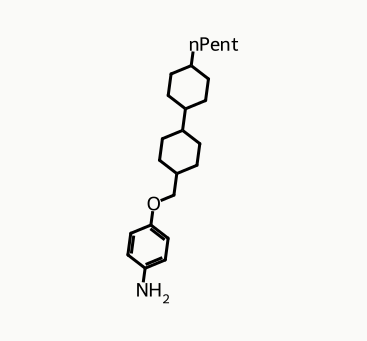 CCCCCC1CCC(C2CCC(COc3ccc(N)cc3)CC2)CC1